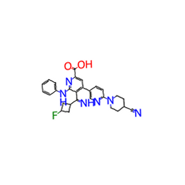 N#CC1CCN(c2ccc(-c3cc(C(=O)O)nc(Nc4ccccc4)c3C(=N)C3CC(F)C3)cn2)CC1